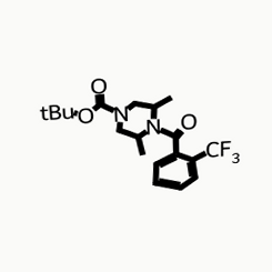 CC1CN(C(=O)OC(C)(C)C)CC(C)N1C(=O)c1ccccc1C(F)(F)F